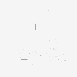 COC(=O)CCCCCC[C@H]1C(C#N)C[C@@H](O)C1/C=C/CC(O)C1(c2cccs2)CCC1